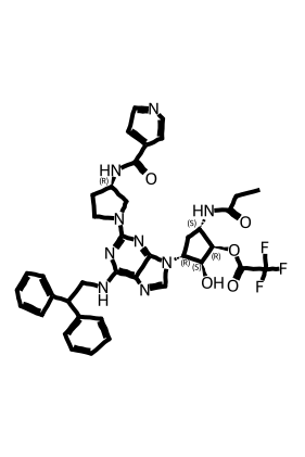 CCC(=O)N[C@H]1C[C@@H](n2cnc3c(NCC(c4ccccc4)c4ccccc4)nc(N4CC[C@@H](NC(=O)c5ccncc5)C4)nc32)[C@H](O)[C@@H]1OC(=O)C(F)(F)F